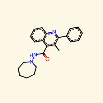 Cc1c(-c2ccccc2)nc2ccccc2c1C(=O)NN1CCCCCC1